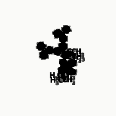 CC(C)C(C)(C)c1cc(-c2ccc3c(c2)C(c2ccc4c(c2)CC4)(c2ccc4c(c2)CC4)c2cc(C(C)(C)C(C)C)ccc2-3)cc(-n2c3ccc(-c4ccc5c(c4)c4ccccc4n5-c4ccccc4)cc3c3cc(-c4ccc5c(c4)c4ccccc4n5-c4ccccc4)ccc32)c1